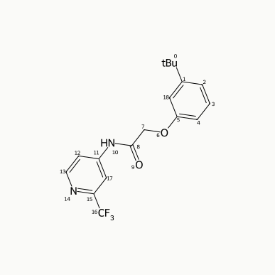 CC(C)(C)c1cccc(OCC(=O)Nc2ccnc(C(F)(F)F)c2)c1